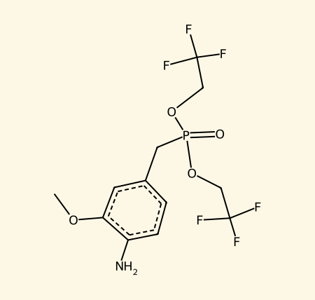 COc1cc(CP(=O)(OCC(F)(F)F)OCC(F)(F)F)ccc1N